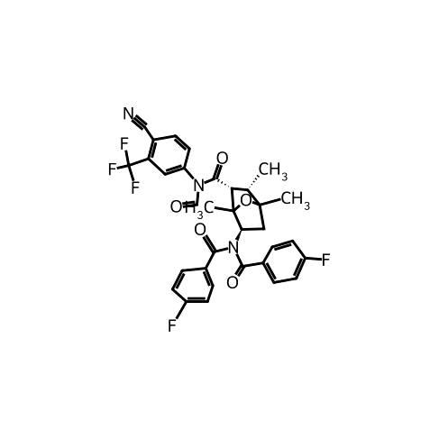 C[C@H]1[C@@H](C(=O)N(C=O)c2ccc(C#N)c(C(F)(F)F)c2)C2(C)OC1(C)C[C@H]2N(C(=O)c1ccc(F)cc1)C(=O)c1ccc(F)cc1